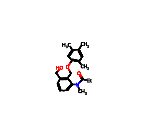 CCC(=O)N(C)c1cccc(CO)c1COc1cc(C)c(C)cc1C